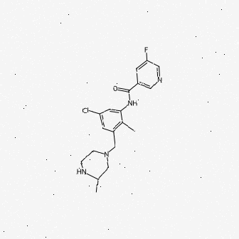 Cc1c(CN2CCNC(C)C2)cc(Cl)cc1NC(=O)c1cncc(F)c1